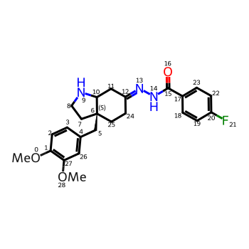 COc1ccc(C[C@@]23CCNC2CC(=NNC(=O)c2ccc(F)cc2)CC3)cc1OC